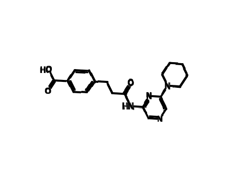 O=C(CCc1ccc(C(=O)O)cc1)Nc1cncc(N2CCCCC2)n1